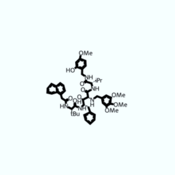 COc1ccc(CNC(=O)[C@@H](NC(=O)[C@H](NCc2cc(OC)c(OC)c(OC)c2)[C@H](O)[C@H](Cc2ccccc2)NC(=O)[C@@H](NC(=O)Cc2cccc3ccccc23)C(C)(C)C)C(C)C)c(O)c1